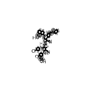 Cc1c(C#N)c(Nc2ccc(Cl)c(S(=O)(=O)O)c2)nc(Nc2ccc(Cl)cc2)c1N=Nc1sc(N=Nc2ccc3cccc(S(=O)(=O)O)c3c2)c(-c2ccc(NS(=O)(=O)c3ccccc3)cc2)c1C#N